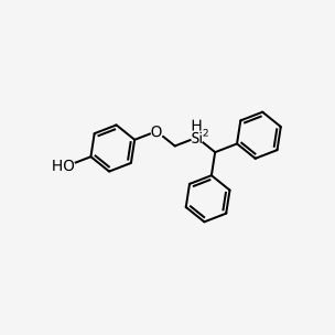 Oc1ccc(OC[SiH2]C(c2ccccc2)c2ccccc2)cc1